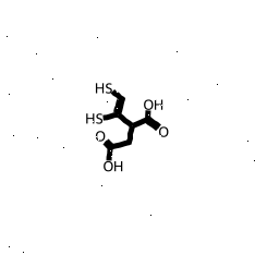 O=C(O)CC(C(=O)O)C(S)=CS